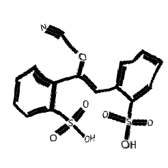 N#COC(=Cc1ccccc1S(=O)(=O)O)c1ccccc1S(=O)(=O)O